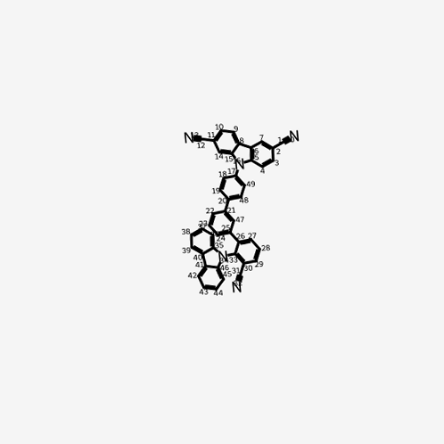 N#Cc1ccc2c(c1)c1ccc(C#N)cc1n2-c1ccc(-c2cccc(-c3cccc(C#N)c3-n3c4ccccc4c4ccccc43)c2)cc1